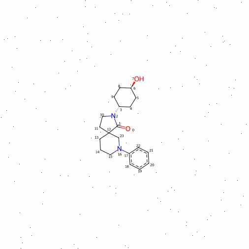 O=C1N([C@H]2CC[C@H](O)CC2)CCC12CCCN(c1ccccc1)C2